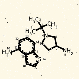 CC(C)(C)N1CCC(N)C1.Nc1cccc2sccc12